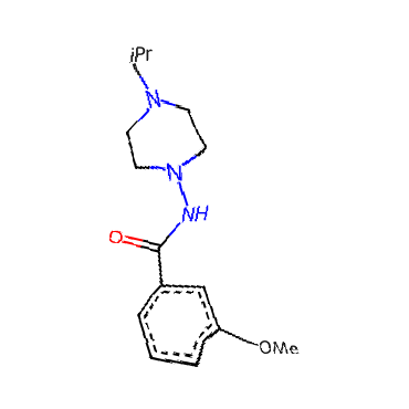 COc1cccc(C(=O)NN2CCN(C(C)C)CC2)c1